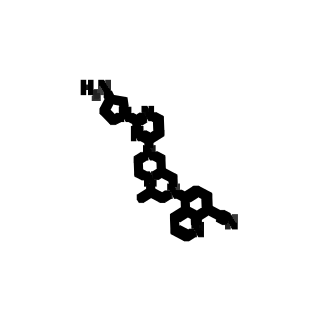 CC1CN(c2ccc(C#N)c3ncccc23)CC2CN(c3ccnc(N4CCC(N)C4)n3)CCN12